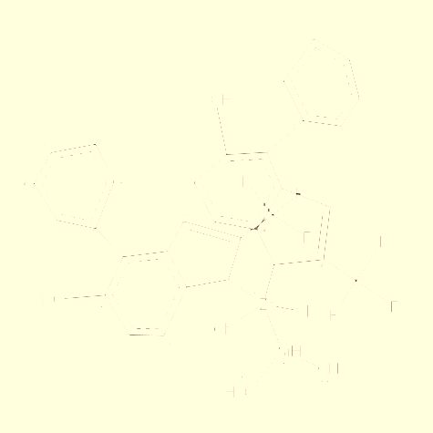 Cc1ccc2c(c1-c1ccccc1)C=C(C(F)(F)F)[CH]2[Zr]([Cl])([Cl])([CH]1C(C(F)(F)F)=Cc2c1ccc(C)c2-c1ccccc1)[SiH](C)C